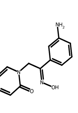 Nc1cccc(/C(Cn2ccccc2=O)=N\O)c1